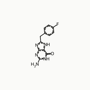 Nc1nc2nc(Cc3ccc(F)cc3)[nH]c2c(=O)[nH]1